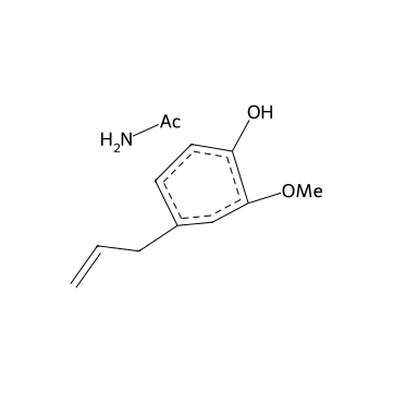 C=CCc1ccc(O)c(OC)c1.CC(N)=O